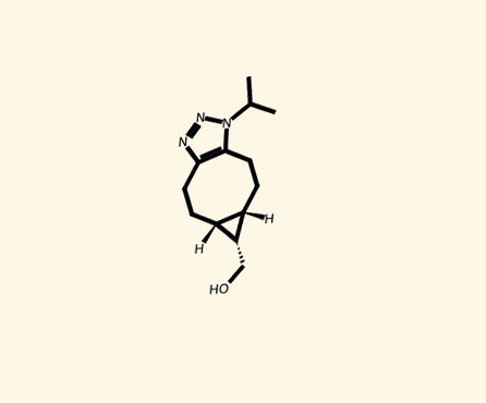 CC(C)n1nnc2c1CC[C@@H]1[C@H](CO)[C@@H]1CC2